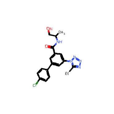 CCc1nnnn1-c1cc(C(=O)NC(C)CO)cc(-c2ccc(Cl)cc2)c1